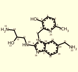 Cc1ccc(O)c(Cn2c(NCC(O)CN)nc3ccc(CN)cc32)n1